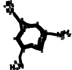 B.Nc1cc(N)cc(N)c1